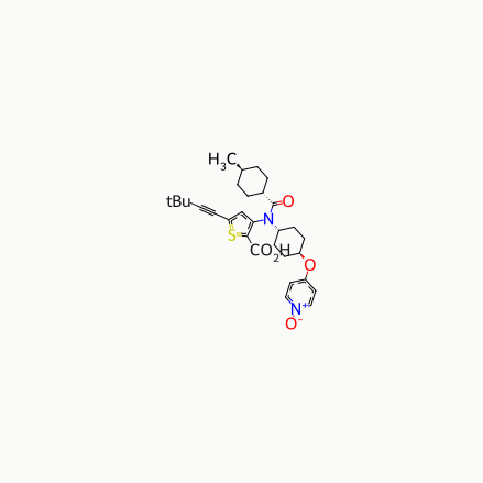 CC(C)(C)C#Cc1cc(N(C(=O)[C@H]2CC[C@H](C)CC2)[C@H]2CC[C@H](Oc3cc[n+]([O-])cc3)CC2)c(C(=O)O)s1